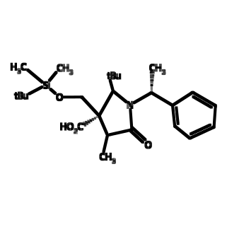 CC1C(=O)N([C@H](C)c2ccccc2)C(C(C)(C)C)[C@@]1(CO[Si](C)(C)C(C)(C)C)C(=O)O